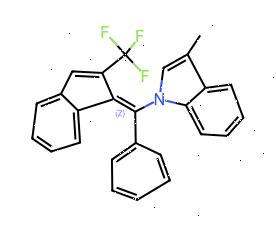 Cc1cn(/C(=C2\C(C(F)(F)F)=Cc3ccccc32)c2ccccc2)c2ccccc12